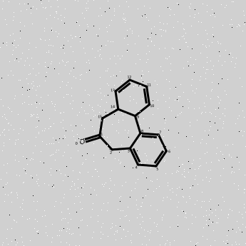 O=C1[CH]c2ccccc2C2C=CC=CC2C1